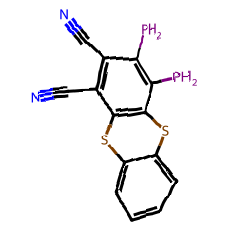 N#Cc1c(P)c(P)c2c(c1C#N)Sc1ccccc1S2